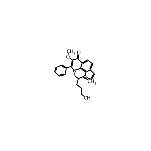 CCCCC(CC)Cn1c(-c2ccccc2)c(OC)c(=O)c2ccc3ccoc3c21